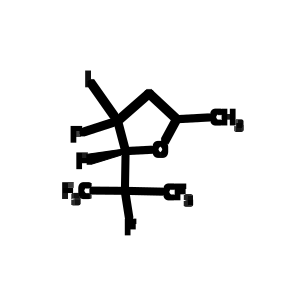 CC1CC(F)(I)[C@@](F)(C(F)(C(F)(F)F)C(F)(F)F)O1